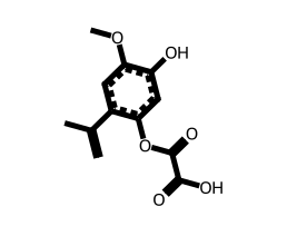 C=C(C)c1cc(OC)c(O)cc1OC(=O)C(=O)O